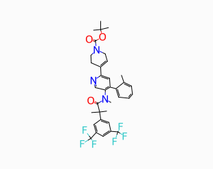 Cc1ccccc1-c1cc(C2=CCN(C(=O)OC(C)(C)C)CC2)ncc1N(C)C(=O)C(C)(C)c1cc(C(F)(F)F)cc(C(F)(F)F)c1